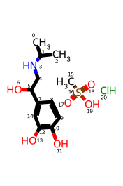 CC(C)NCC(O)c1ccc(O)c(O)c1.CS(=O)(=O)O.Cl